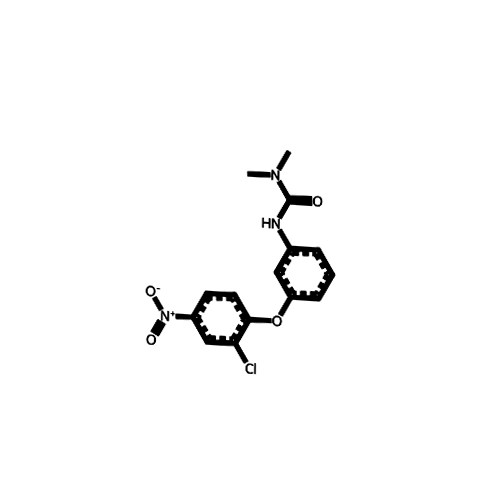 CN(C)C(=O)Nc1cccc(Oc2ccc([N+](=O)[O-])cc2Cl)c1